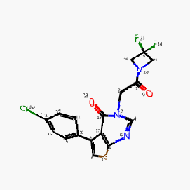 O=C(Cn1cnc2scc(-c3ccc(Cl)cc3)c2c1=O)N1CC(F)(F)C1